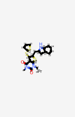 CC(C)Cn1c(=O)n(C)c(=O)c2c(Sc3cccs3)c(Cc3cc4ccccc4[nH]3)sc21